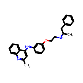 Cc1cc(Nc2cccc(OCCNC(C)Cc3ccccc3)c2)c2ccccc2n1